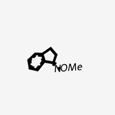 CO/N=C1\CCc2ccccc21